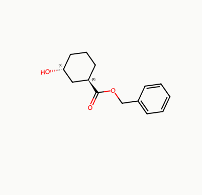 O=C(OCc1ccccc1)[C@@H]1CCC[C@@H](O)C1